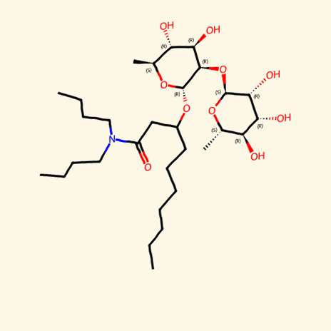 CCCCCCCC(CC(=O)N(CCCC)CCCC)O[C@@H]1O[C@@H](C)[C@H](O)[C@@H](O)[C@H]1O[C@@H]1O[C@@H](C)[C@H](O)[C@@H](O)[C@H]1O